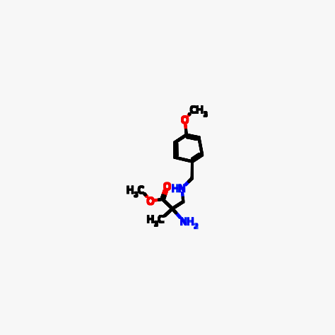 COC(=O)C(C)(N)CNCc1ccc(OC)cc1